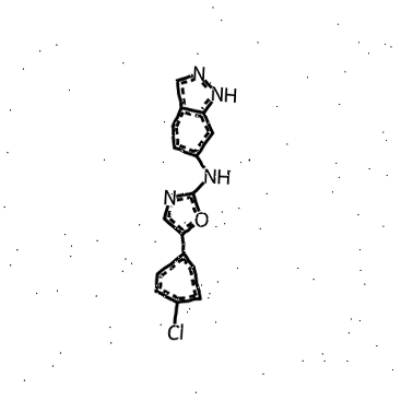 Clc1ccc(-c2cnc(Nc3ccc4cn[nH]c4c3)o2)cc1